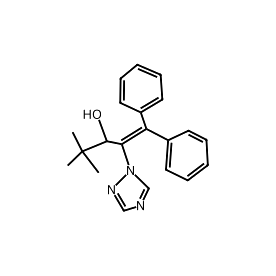 CC(C)(C)C(O)C(=C(c1ccccc1)c1ccccc1)n1cncn1